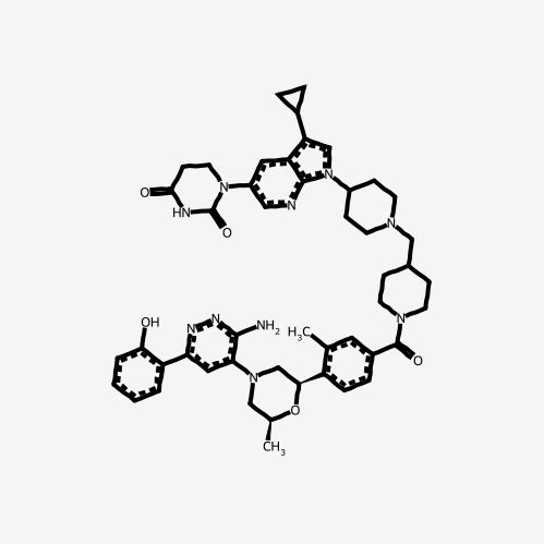 Cc1cc(C(=O)N2CCC(CN3CCC(n4cc(C5CC5)c5cc(N6CCC(=O)NC6=O)cnc54)CC3)CC2)ccc1[C@@H]1CN(c2cc(-c3ccccc3O)nnc2N)C[C@H](C)O1